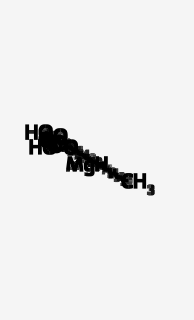 CCCCCCCCCCCCCCCCCCOCCOC(=O)C(CC(=O)O)S(=O)(=O)O.[MgH2]